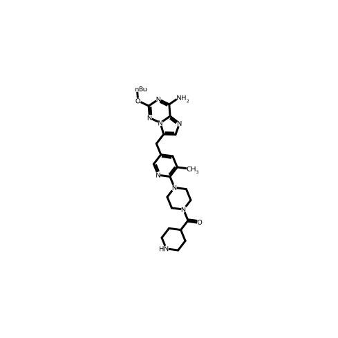 CCCCOc1nc(N)c2ncc(Cc3cnc(N4CCN(C(=O)C5CCNCC5)CC4)c(C)c3)n2n1